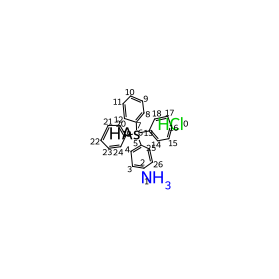 Cl.N.c1ccc([AsH](c2ccccc2)(c2ccccc2)c2ccccc2)cc1